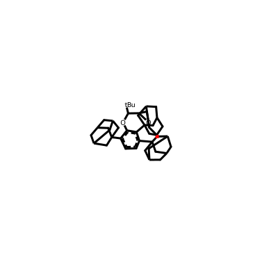 CC(C)(C)C(Oc1c(C23CC4CC(CC(C4)C2)C3)ccc(C23CC4CC(CC(C4)C2)C3)c1C12CC3CC(CC(C3)C1)C2)C1CO1